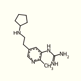 Cc1ncc(CCNC2CCCC2)cc1NC(=N)N